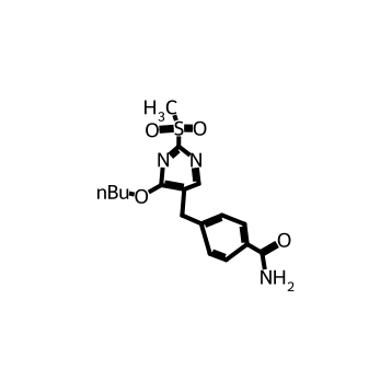 CCCCOc1nc(S(C)(=O)=O)ncc1Cc1ccc(C(N)=O)cc1